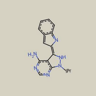 CC(C)N1N/C(=C2/C=c3ccccc3=N2)c2c(N)ncnc21